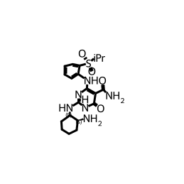 CC(C)S(=O)(=O)c1ccccc1Nc1nc(N[C@@H]2CCCC[C@@H]2N)[nH]c(=O)c1C(N)=O